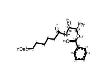 CCCCCCCCCCCCCCCC(=O)N[C@@H](CC)[C@@H](CCC)OC(=O)c1ccccc1